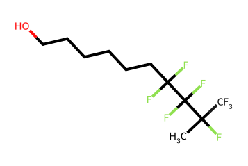 CC(F)(C(F)(F)F)C(F)(F)C(F)(F)CCCCCCO